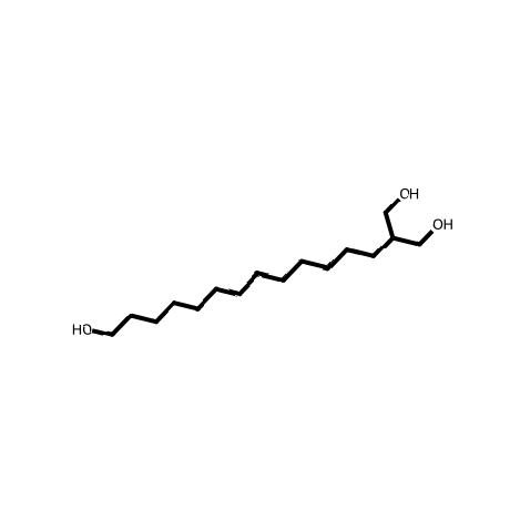 OCCCCCCCCCCCCCC(CO)CO